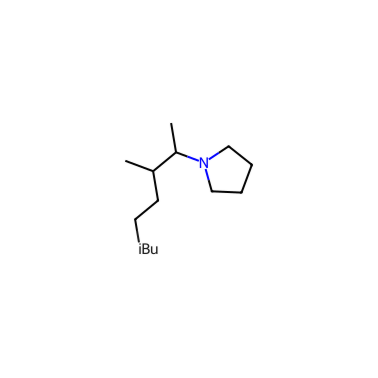 CCC(C)CCC(C)C(C)N1CCCC1